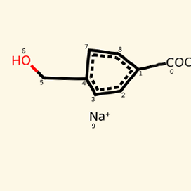 O=C([O-])c1ccc(CO)cc1.[Na+]